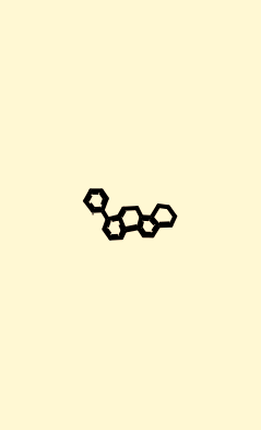 [c]1ccccc1-c1cccc2c1=CCc1c3c(ccc1=2)=CCCC3